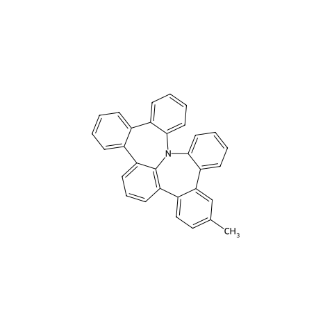 Cc1ccc2c(c1)-c1ccccc1N1c3ccccc3-c3ccccc3-c3cccc-2c31